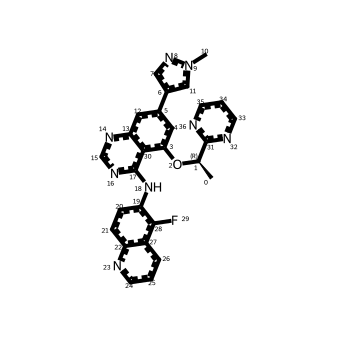 C[C@@H](Oc1cc(-c2cnn(C)c2)cc2ncnc(Nc3ccc4ncccc4c3F)c12)c1ncccn1